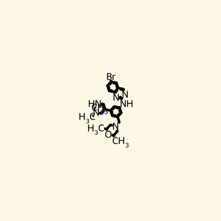 CC1CN(Cc2cc(Nc3ncc4cc(Br)ccc4n3)cc(/C(C=N)=C/N(C)C)c2)CC(C)O1